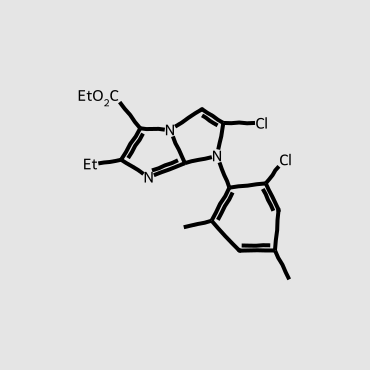 CCOC(=O)c1c(CC)nc2n(-c3c(C)cc(C)cc3Cl)c(Cl)cn12